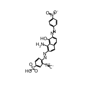 [C-]#[N+]c1cc(S(=O)(=O)O)ccc1N=Nc1ccc2ccc(N=Nc3ccc([N+](=O)[O-])cc3)c(O)c2c1N